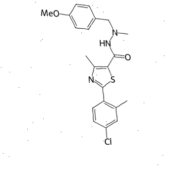 COc1ccc(CN(C)NC(=O)c2sc(-c3ccc(Cl)cc3C)nc2C)cc1